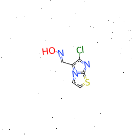 ON=Cc1c(Cl)nc2sccn12